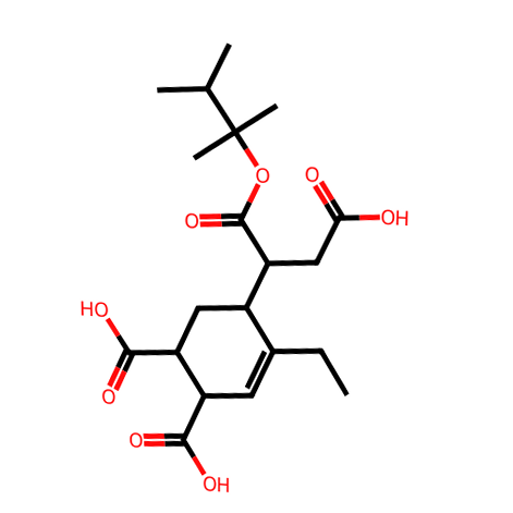 CCC1=CC(C(=O)O)C(C(=O)O)CC1C(CC(=O)O)C(=O)OC(C)(C)C(C)C